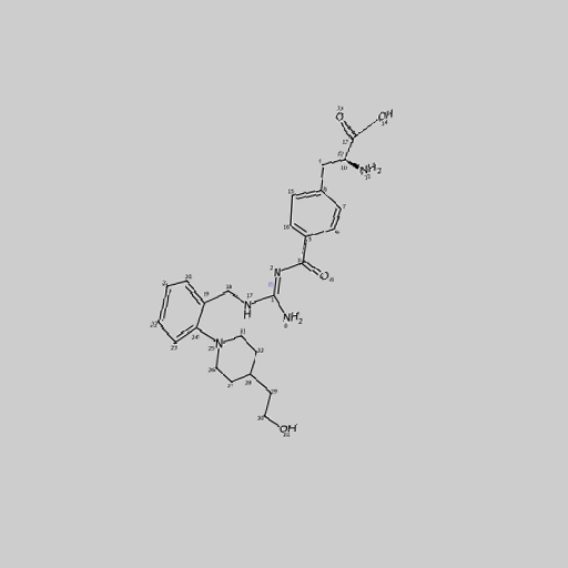 N/C(=N\C(=O)c1ccc(C[C@H](N)C(=O)O)cc1)NCc1ccccc1N1CCC(CCO)CC1